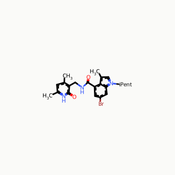 CCCC(C)n1cc(C)c2c(C(=O)NCc3c(C)cc(C)[nH]c3=O)cc(Br)cc21